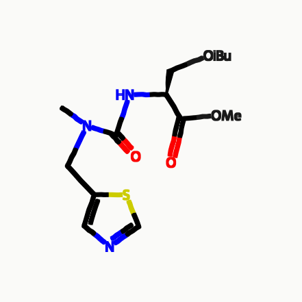 COC(=O)[C@H](COCC(C)C)NC(=O)N(C)Cc1cncs1